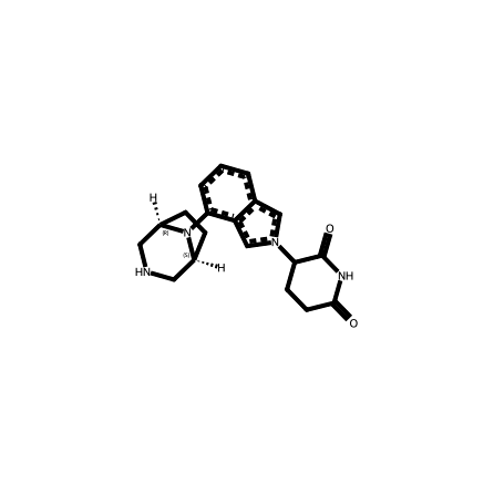 O=C1CCC(n2cc3cccc(N4[C@@H]5CC[C@H]4CNC5)c3c2)C(=O)N1